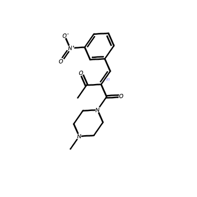 CC(=O)/C(=C\c1cccc([N+](=O)[O-])c1)C(=O)N1CCN(C)CC1